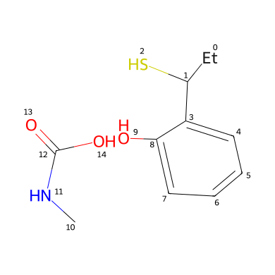 CCC(S)c1ccccc1O.CNC(=O)O